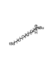 CC(C)(C)CCCOCCOCCOCCOCCNC(=O)C(C)(C)C